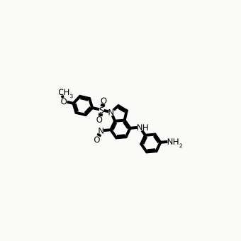 COc1ccc(S(=O)(=O)n2ccc3c(Nc4cccc(N)c4)ccc(N=O)c32)cc1